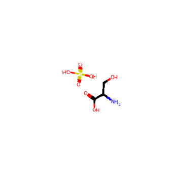 NC(CO)C(=O)O.O=S(=O)(O)O